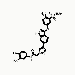 CNS(=O)(=O)c1cc(Nc2n[nH]c3cc(-c4cnn(CC(=O)Nc5ccc(Cl)c(C(F)(F)F)c5)c4)ccc23)ccc1C